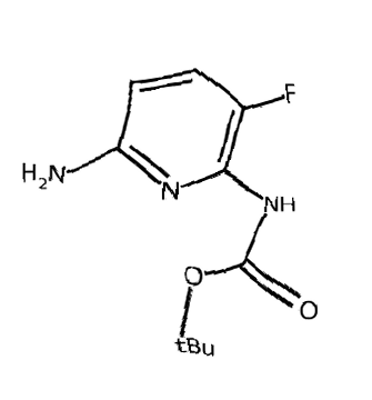 CC(C)(C)OC(=O)Nc1nc(N)ccc1F